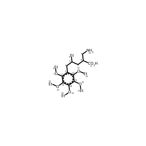 CCOc1c(CC(CC)CC(CN)C(=O)O)c(OCC)c(OCC)c(OCC)c1OCC